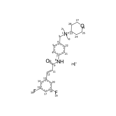 C[N+](C)(Cc1ccc(NC(=O)C=Cc2cc(F)cc(F)c2)cc1)C1CCOCC1.[I-]